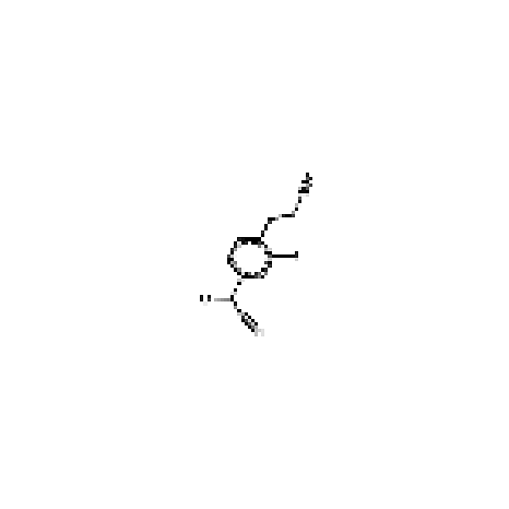 CC(C#N)c1ccc(CCC#N)c(F)c1